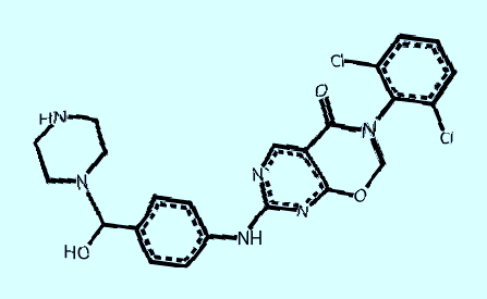 O=C1c2cnc(Nc3ccc(C(O)N4CCNCC4)cc3)nc2OCN1c1c(Cl)cccc1Cl